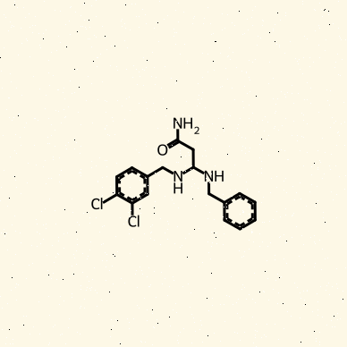 NC(=O)CC(NCc1ccccc1)NCc1ccc(Cl)c(Cl)c1